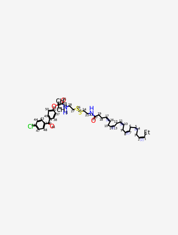 CC/C=C\C/C=C\C/C=C\C/C=C\C/C=C\C/C=C\CCC(=O)NCCSSCCNC(=O)C(C)(C)Oc1ccc(C(=O)c2ccc(Cl)cc2)cc1